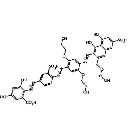 O=C(O)c1cc(O)nc(O)c1/N=N/c1ccc(/N=N/c2cc(OCCO)c(/N=N/c3c(SOOO)cc4cc(S(=O)(=O)O)cc(O)c4c3O)cc2OCCO)c(S(=O)(=O)O)c1